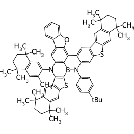 Cc1cc2c(cc1N1c3cc4c(oc5ccccc54)c4c3B(c3sc5cc6c(cc5c31)C(C)(C)CCC6(C)C)N(c1ccc(C(C)(C)C)cc1)c1cc3sc5cc6c(cc5c3cc1-4)C(C)(C)CCC6(C)C)C(C)(C)CCC2(C)C